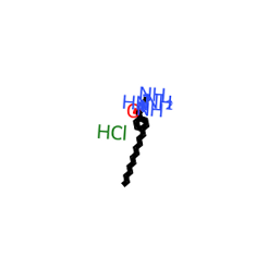 CCCCCCCCCCCCc1ccc(C(=O)NNC(=N)N)cc1.Cl